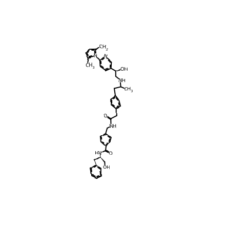 Cc1ccc(C)n1-c1ccc([C@@H](O)CNC(C)Cc2ccc(CC(=O)NCc3ccc(C(=O)N[C@@H](CO)Cc4ccccc4)cc3)cc2)cn1